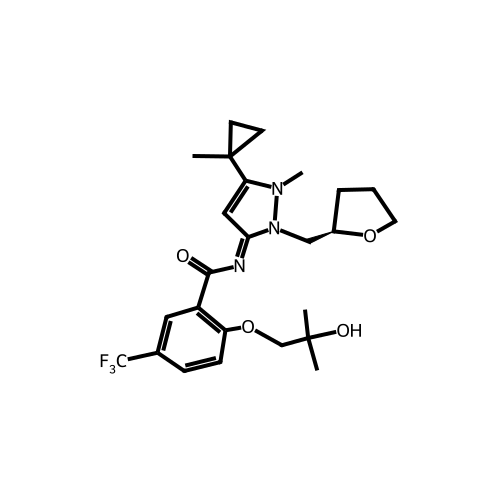 Cn1c(C2(C)CC2)c/c(=N\C(=O)c2cc(C(F)(F)F)ccc2OCC(C)(C)O)n1C[C@H]1CCCO1